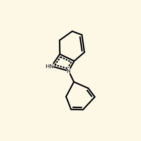 C1=CCC(n2[nH]c3c2C=CCC3)C=C1